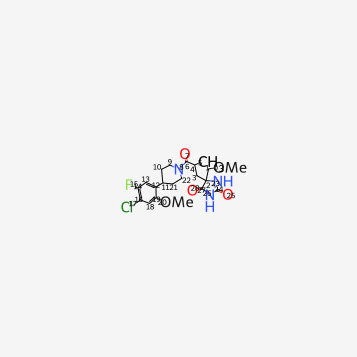 COCC1(CC(C)C(=O)N2CCC(c3cc(F)c(Cl)cc3OC)CC2)NC(=O)NC1=O